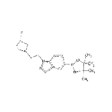 CC1(C)OB(c2ccc3c(cnn3CCN3CC[C@H](F)C3)c2)OC1(C)C